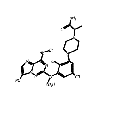 CCNc1nc(N(C(=O)O)c2cc(C#N)cc(N3CCN(C(C)C(N)=O)CC3)c2Cl)nn2c(C#N)cnc12